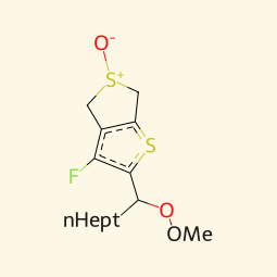 CCCCCCCC(OOC)c1sc2c(c1F)C[S+]([O-])C2